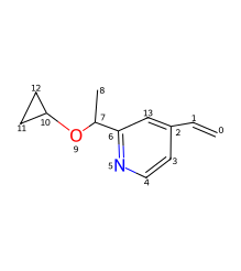 C=Cc1ccnc(C(C)OC2CC2)c1